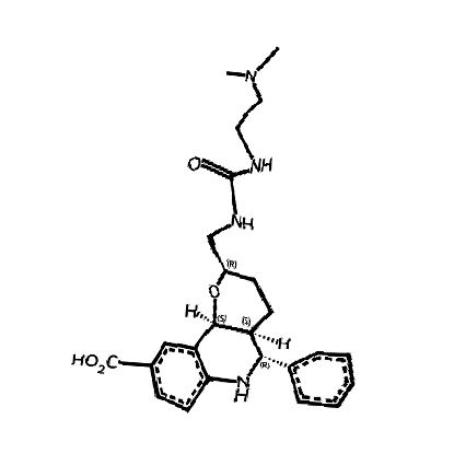 CN(C)CCNC(=O)NC[C@H]1CC[C@@H]2[C@H](O1)c1cc(C(=O)O)ccc1N[C@H]2c1ccccc1